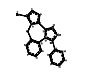 Brc1ccc2n1Cc1ccccc1-n1c(-c3ccccn3)nnc1-2